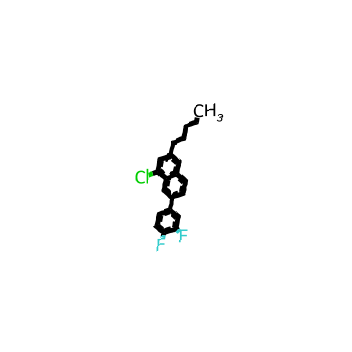 CCCCCc1cc(Cl)c2cc(-c3ccc(F)c(F)c3)ccc2c1